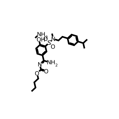 CCCCOC(=O)/N=C(\N)c1ccc(O)c(S(=O)(=O)N(C)CCc2ccc(C(C)C)cc2)c1.CN